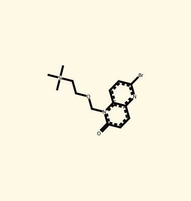 C[Si](C)(C)CCOCn1c(=O)ccc2nc(Br)ccc21